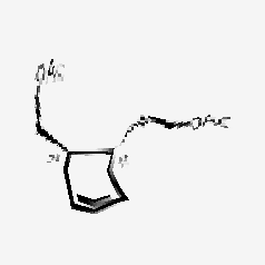 CC(=O)OC[C@@H]1C=C[C@H]1COC(C)=O